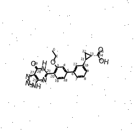 CCOc1cc(-c2cccc([C@H]3C[C@@H]3C(=O)O)c2)ccc1-c1nc2[nH]nnc2c(=O)[nH]1